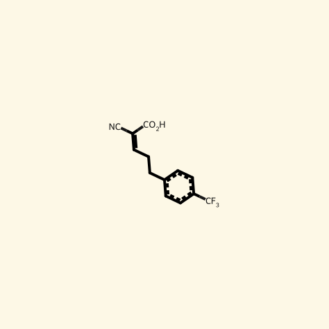 N#CC(=CCCc1ccc(C(F)(F)F)cc1)C(=O)O